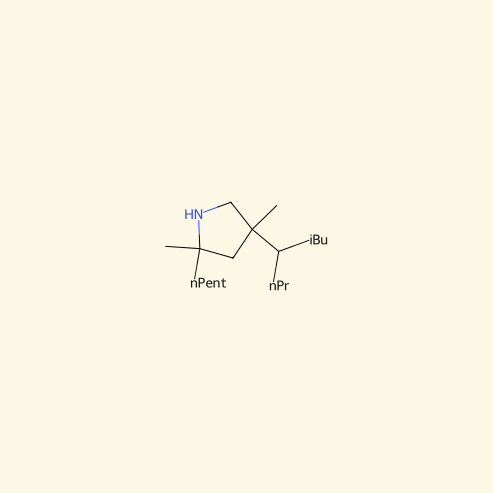 CCCCCC1(C)CC(C)(C(CCC)C(C)CC)CN1